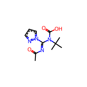 CC(=O)N=C(N(C(=O)O)C(C)(C)C)n1cccn1